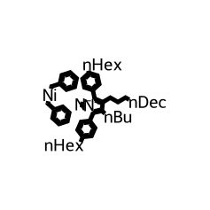 CCCCCCCCCCCCCC1=C(c2ccc(CCCCCC)cc2)[N+](=[N-])C(c2ccc(CCCCCC)cc2)=C1CCCC.c1ccc([CH2][Ni][CH2]c2ccccc2)cc1